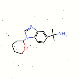 CC(C)(N)c1ccc2c(c1)ncn2C1CCCCO1